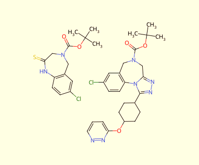 CC(C)(C)OC(=O)N1CC(=S)Nc2ccc(Cl)cc2C1.CC(C)(C)OC(=O)N1Cc2cc(Cl)ccc2-n2c(nnc2C2CCC(Oc3cccnn3)CC2)C1